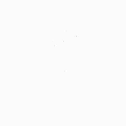 CCOCCS(=O)(=O)/N=C/C1C[C@@H](CC)[C@@H](c2nnc3cnc4[nH]ccc4n23)C1